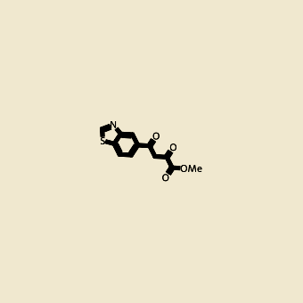 COC(=O)C(=O)CC(=O)c1ccc2scnc2c1